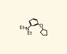 CCN(CC)c1cccc(OC2CCCC2)c1